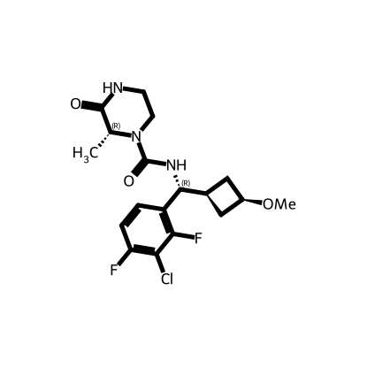 CO[C@H]1C[C@@H]([C@@H](NC(=O)N2CCNC(=O)[C@H]2C)c2ccc(F)c(Cl)c2F)C1